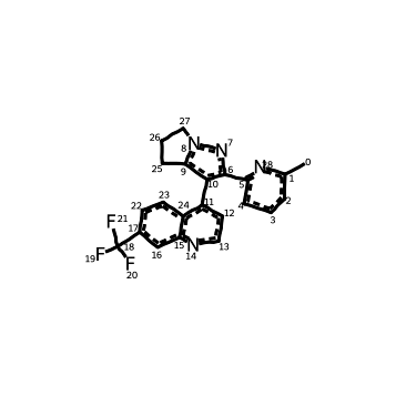 Cc1cccc(-c2nn3c(c2-c2ccnc4cc(C(F)(F)F)ccc24)CCC3)n1